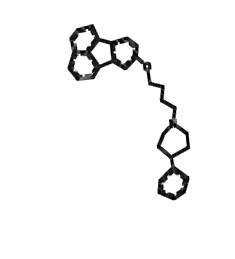 c1ccc(C2CCN(CCCCOc3ccc4c(c3)-c3cccc5cccc-4c35)CC2)cc1